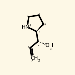 C=C[C@@H](O)[C@@H]1CCCN1